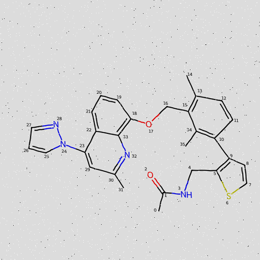 CC(=O)NCc1sccc1-c1ccc(C)c(COc2cccc3c(-n4cccn4)cc(C)nc23)c1C